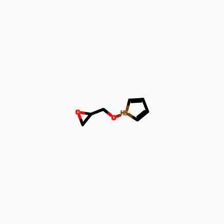 C1=C[SH](OCC2CO2)C=C1